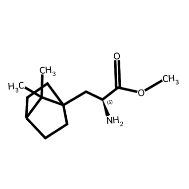 COC(=O)[C@@H](N)CC12CCC(CC1)C2(C)C